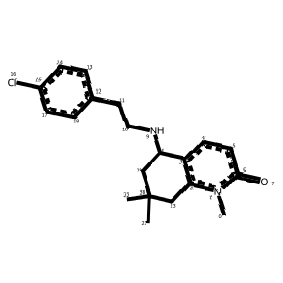 Cn1c2c(ccc1=O)C(NCCc1ccc(Cl)cc1)CC(C)(C)C2